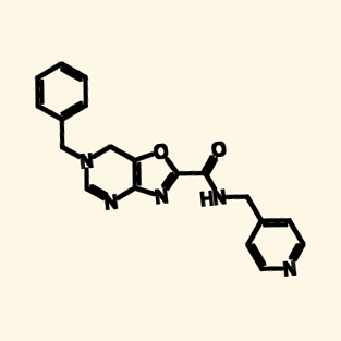 O=C(NCc1ccncc1)c1nc2c(o1)CN(Cc1ccccc1)C=N2